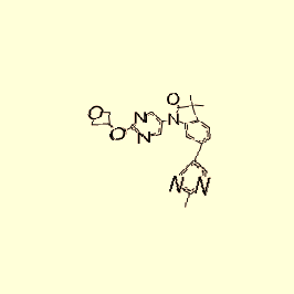 Cc1ncc(-c2ccc3c(c2)N(c2cnc(OC4COC4)nc2)C(=O)C3(C)C)cn1